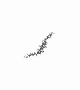 CCCOCCCc1cc2sc3c(sc4c5sc(CCCOCCC)cc5sc43)c2s1